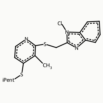 CCCC(C)Sc1ccnc(SCc2nc3ccccc3n2Cl)c1C